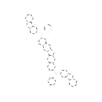 C1=CCCC(N(c2ccc3cc4c(cc3c2)oc2cc3cc(N(c5ccccc5)c5ccc6oc7ccccc7c6c5)ccc3cc24)c2ccc3oc4ccccc4c3c2)=C1